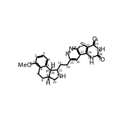 COc1cccc2c1CC[C@H]1CNC(CCc3cc4c(nn3)sc3c(=O)[nH]c(=O)[nH]c34)[C@@H]21